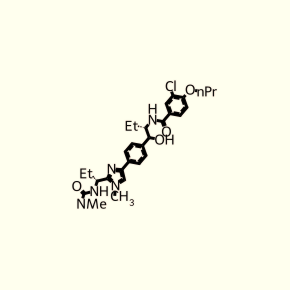 CCCOc1ccc(C(=O)N[C@@H](CC)C(O)c2ccc(-c3cn(C)c([C@@H](CC)NC(=O)NC)n3)cc2)cc1Cl